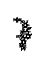 Cc1ccc(C(c2ccn3c(C(F)(F)F)nnc3c2C)C(C)(C)C(=O)O)cc1CN1CC2(CC2)Oc2nc(OCCN3CC(F)C3)c(C)cc2[S+]1[O-]